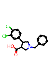 O=C(O)C1CN(Cc2ccccc2)CC1c1ccc(Cl)c(Cl)c1